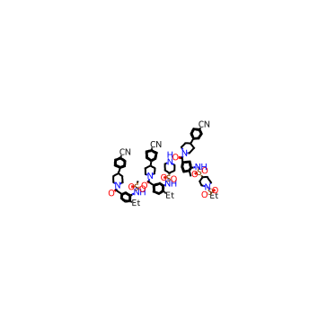 CCS(=O)(=O)N1CCC(S(=O)(=O)Nc2cc(C(=O)N3CCC(c4ccc(C#N)cc4)CC3)ccc2C)CC1.CCc1ccc(C(=O)N2CCC(c3ccc(C#N)cc3)CC2)cc1NS(=O)(=O)C1CCNCC1.CCc1ccc(C(=O)N2CCC(c3ccc(C#N)cc3)CC2)cc1NS(C)(=O)=O